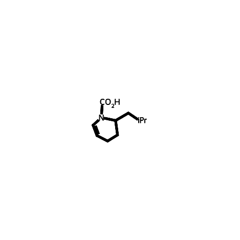 CC(C)CC1CCC=CN1C(=O)O